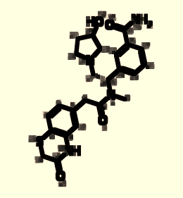 CN(C(=O)Cc1ccc2c(c1)NC(=O)CS2)[C@H](CN1CCC(O)C1)c1cccc(C(N)=O)c1